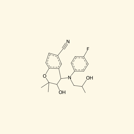 CC(O)CN(c1ccc(F)cc1)C1c2cc(C#N)ccc2OC(C)(C)C1O